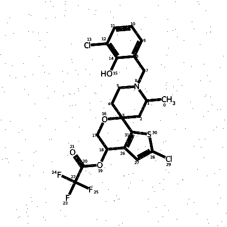 CC1CC2(CCN1Cc1cccc(Cl)c1O)OCC(OC(=O)C(F)(F)F)c1cc(Cl)sc12